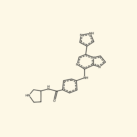 O=C(NC1CCNC1)c1ccc(Nc2ncc(-c3cn[nH]c3)n3ccnc23)cc1